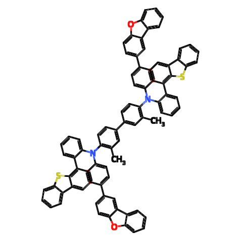 Cc1cc(-c2ccc(N(c3ccc(-c4ccc5oc6ccccc6c5c4)cc3)c3ccccc3-c3cccc4c3sc3ccccc34)c(C)c2)ccc1N(c1ccc(-c2ccc3oc4ccccc4c3c2)cc1)c1ccccc1-c1cccc2c1sc1ccccc12